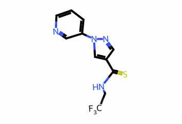 FC(F)(F)CNC(=S)c1cnn(-c2cccnc2)c1